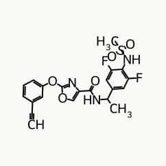 C#Cc1cccc(Oc2nc(C(=O)NC(C)c3cc(F)c(NS(C)(=O)=O)c(F)c3)co2)c1